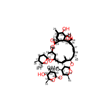 CO[C@H]1C[C@H](O[C@@H]2/C(C)=C/C[C@@H]3C[C@@H](C[C@]4(CC[C@H](C)[C@@H](C(C)C)O4)O3)OC(=O)[C@@H]3C=C(C)[C@@H](O)[C@H]4OCC(=CC=C[C@@H]2C)[C@]43O)O[C@@H](C)[C@@H]1O[C@H]1C[C@@H](OC)[C@@H](O)[C@H](C)O1